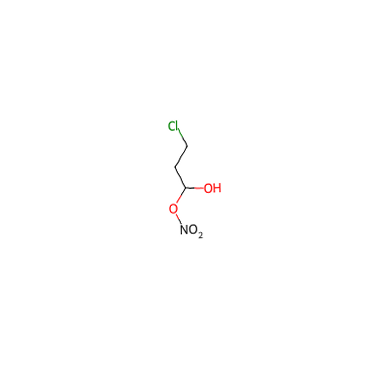 O=[N+]([O-])OC(O)CCCl